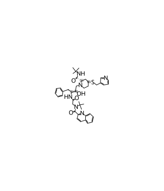 CC(C)(C)NC(=O)[C@@H]1C[C@H](SCc2cccnc2)CCN1C[C@@H](O)[C@H](Cc1ccccc1)NC(=O)CN(C(=O)c1ccc2ccccc2n1)C(C)(C)C